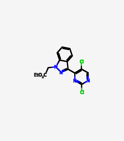 CCOC(=O)Cn1nc(-c2nc(Cl)ncc2Cl)c2ccccc21